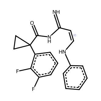 N=C(/C=C\Nc1ccccc1)NC(=O)C1(c2cccc(F)c2F)CC1